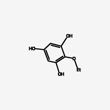 CCOc1c(O)cc(O)cc1O